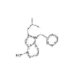 CC(C)Cc1cc2c(O)cccc2n1Cc1ccccc1